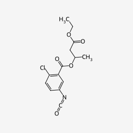 CCOC(=O)CC(C)OC(=O)c1cc(N=C=O)ccc1Cl